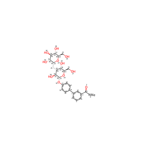 CNC(=O)c1cccc(-c2ccc(O[C@H]3O[C@H](CO)[C@@H](O)[C@@H](C[C@H]4O[C@H](CO)[C@@H](O)[C@H](O)[C@H]4O)[C@@H]3O)cc2)c1